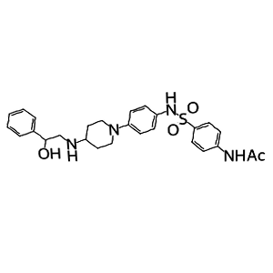 CC(=O)Nc1ccc(S(=O)(=O)Nc2ccc(N3CCC(NCC(O)c4ccccc4)CC3)cc2)cc1